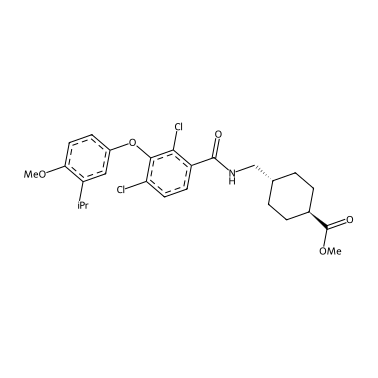 COc1ccc(Oc2c(Cl)ccc(C(=O)NC[C@H]3CC[C@H](C(=O)OC)CC3)c2Cl)cc1C(C)C